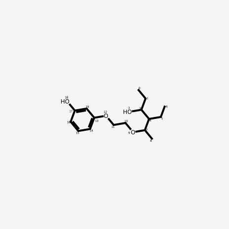 CCC(O)C(CC)C(C)OCCOc1cccc(O)c1